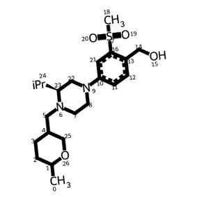 CC1CCC(CN2CCN(c3ccc(CO)c(S(C)(=O)=O)c3)C[C@@H]2C(C)C)CO1